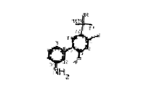 Cc1cc(F)c(-c2cccc(N)c2)cc1C(C)(C)C